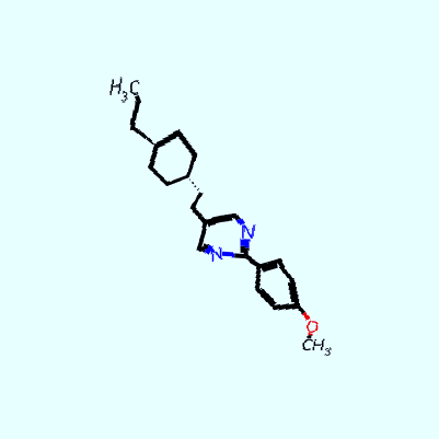 CCC[C@H]1CC[C@H](CCc2cnc(-c3ccc(OC)cc3)nc2)CC1